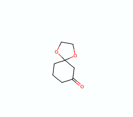 O=C1CCCC2(C1)OCCO2